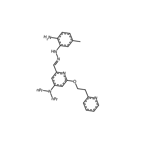 CCCN(CCC)c1cc(/C=N/Nc2cc(C)ccc2N)nc(OCCc2ccccn2)c1